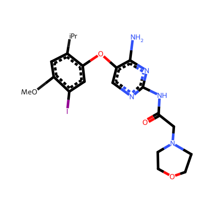 COc1cc(C(C)C)c(Oc2cnc(NC(=O)CN3CCOCC3)nc2N)cc1I